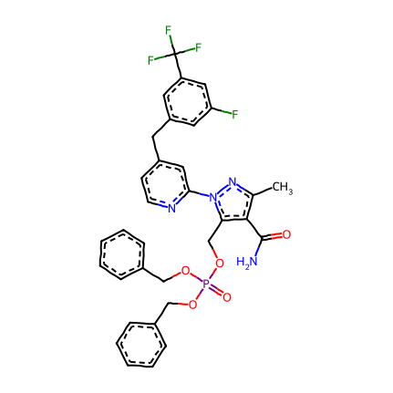 Cc1nn(-c2cc(Cc3cc(F)cc(C(F)(F)F)c3)ccn2)c(COP(=O)(OCc2ccccc2)OCc2ccccc2)c1C(N)=O